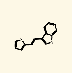 C(=Cc1c[nH]c2ccccc12)c1cccs1